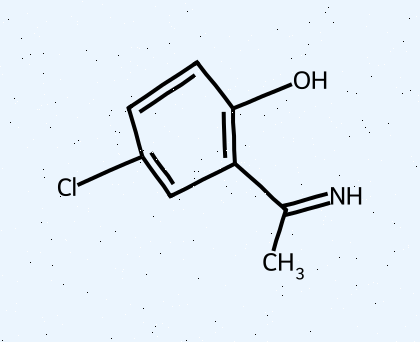 CC(=N)c1cc(Cl)ccc1O